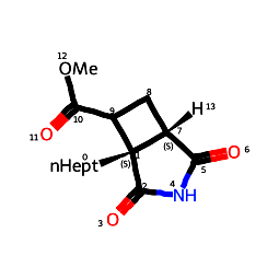 CCCCCCC[C@]12C(=O)NC(=O)[C@H]1CC2C(=O)OC